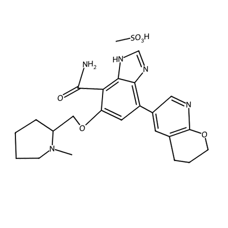 CN1CCCCC1COc1cc(-c2cnc3c(c2)CCCO3)c2nc[nH]c2c1C(N)=O.CS(=O)(=O)O